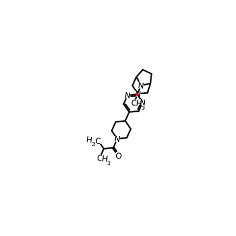 CC(C)C(=O)N1CCC(c2cnc(N3C4CCC3CN(C)C4)nc2)CC1